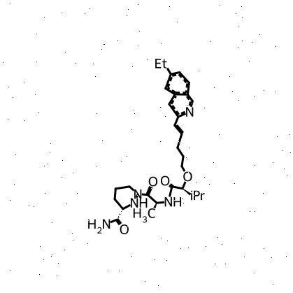 CCc1ccc2cnc(/C=C/CCCO[C@H](C(=O)N[C@@H](C)C(=O)N3CCC[C@@H](C(N)=O)N3)C(C)C)cc2c1